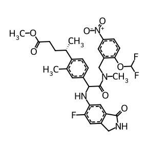 COC(=O)CC[C@H](C)c1ccc(C(Nc2cc3c(cc2F)CNC3=O)C(=O)N(C)Cc2cc([N+](=O)[O-])ccc2OC(F)F)cc1C